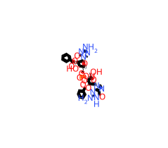 Nc1ncn([C@@H]2O[C@H](COP(=O)(O)OC3[C@@H](CO)O[C@@H](n4cnc5c(=O)[nH]c(N)nc54)[C@H]3OC(=O)c3ccccc3)C(O)[C@@H]2OC(=O)c2ccccc2)c(=O)n1